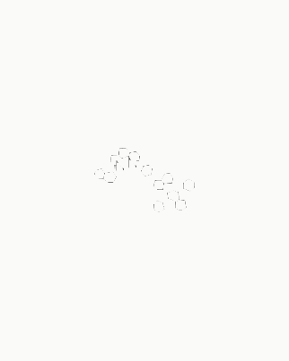 c1ccc(-c2c3c(c(-c4ccccc4)c4ccccc24)-c2ccc(-c4ccc(-c5ccc6ccc7ccc(-c8cccc9ccccc89)nc7c6n5)cc4)c4cccc-3c24)cc1